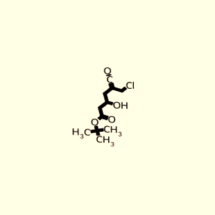 CC(C)(C)OC(=O)CC(O)CC(=C=O)CCl